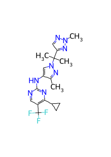 Cc1nn(C(C)(C)c2cnn(C)n2)cc1Nc1ncc(C(F)(F)F)c(C2CC2)n1